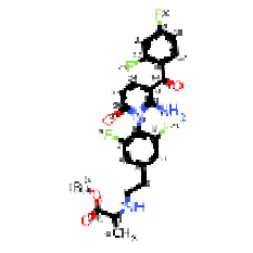 CC(NCCc1cc(F)c(-n2c(N)c(C(=O)c3ccc(F)cc3F)ccc2=O)c(F)c1)C(=O)OC(C)(C)C